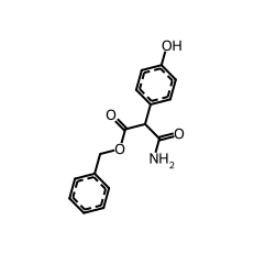 NC(=O)C(C(=O)OCc1ccccc1)c1ccc(O)cc1